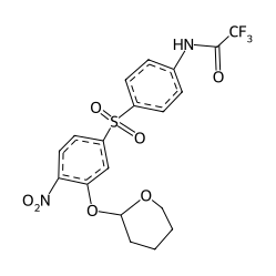 O=C(Nc1ccc(S(=O)(=O)c2ccc([N+](=O)[O-])c(OC3CCCCO3)c2)cc1)C(F)(F)F